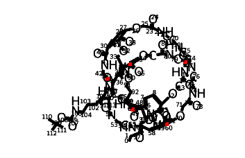 CCCCOn1c2ccc(c1=O)OCC(=O)NCCN1CCNC(=O)COc3ccc(n(OCCCC)c3=O)C(=O)NCCN(CCNC2=O)CCN2CCNC(=O)c3ccc(c(=O)n3OCCCC)OCC(=O)NCCN(CCNC(=O)COc3ccc(n(OCCCC)c3=O)C(=O)NC(CCCCNC(=O)OC(C)(C)C)C2)CC1